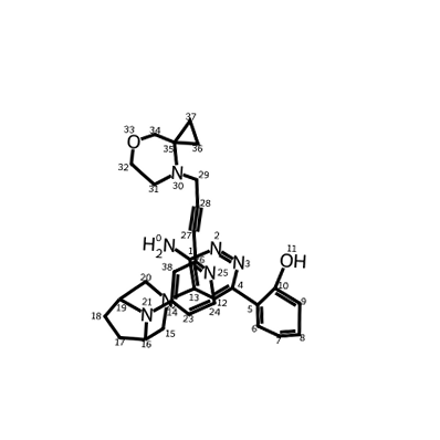 Nc1nnc(-c2ccccc2O)cc1N1CC2CCC(C1)N2c1ccnc(C#CCN2CCOCC23CC3)c1